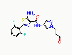 Nc1sc(-c2c(F)cccc2F)nc1C(=O)Nc1cnn(CCC=O)c1